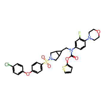 O=C(Oc1cccs1)N(CC1C2CN(S(=O)(=O)c3ccc(Oc4ccc(Cl)cc4)cc3)CC12)c1ccc(N2CCOCC2)c(F)c1